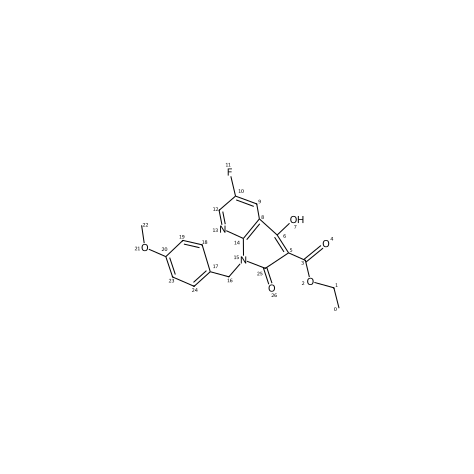 CCOC(=O)c1c(O)c2cc(F)cnc2n(Cc2ccc(OC)cc2)c1=O